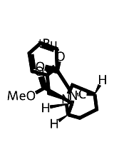 COC(=O)[C@H]1[C@@H]2CC[C@@H](CN2Cc2ccccc2)CN1C(=O)OC(C)(C)C